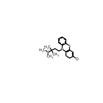 CN(C)C(C)(C)CCN1C2=C(C=C(Cl)CC2)Sc2ccccc21